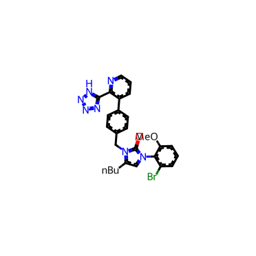 CCCCc1cn(-c2c(Br)cccc2OC)c(=O)n1Cc1ccc(-c2cccnc2-c2nnn[nH]2)cc1